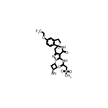 CCC[C@H]1C[C@H](n2nc3c(c2NC(=O)CS(C)(=O)=O)C(=O)N[C@@]2(CCc4cc(OCC(F)(F)F)ccc42)C3)C1